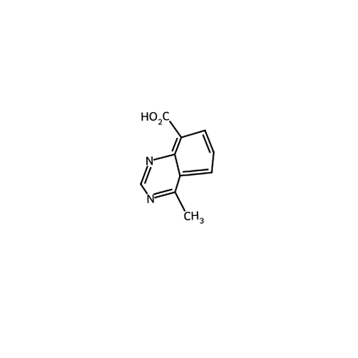 Cc1ncnc2c(C(=O)O)cccc12